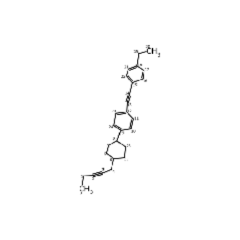 CCC#CCC1CCC(c2ccc(C#Cc3ccc(CC)cc3)cc2)CC1